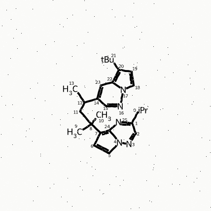 CC(C)c1cnn2ccc(C(C)(C)CC(C)c3cnn4ccc(C(C)(C)C)c4c3)c2n1